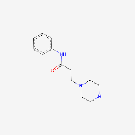 O=C(CCN1CC[N]CC1)Nc1ccccc1